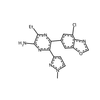 CCc1nc(-c2cc(Cl)c3ncoc3c2)c(-c2ccn(C)n2)nc1N